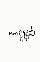 COC(=O)NC1=NCC(c2cccc(I)c2I)N1C